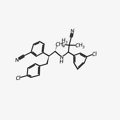 C[C@H](NC(c1cccc(Cl)c1)C(C)(C)C#N)[C@@H](Cc1ccc(Cl)cc1)c1cccc(C#N)c1